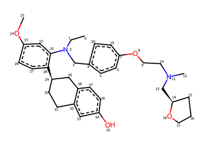 CCN(Cc1ccc(OCCN(C)C[C@H]2CCCO2)cc1)c1cc(OC)ccc1[C@@H]1CCc2cc(O)ccc2C1